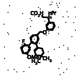 CCC[C@@H](CC(=O)O)c1cccc(OCc2ccc(-c3cc(OC)ccc3F)c(C3=CCC(C)(C)CC3)c2)c1